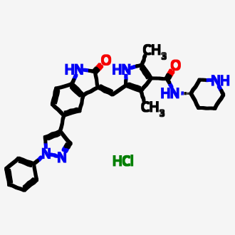 Cc1[nH]c(/C=C2\C(=O)Nc3ccc(-c4cnn(-c5ccccc5)c4)cc32)c(C)c1C(=O)N[C@H]1CCCNC1.Cl